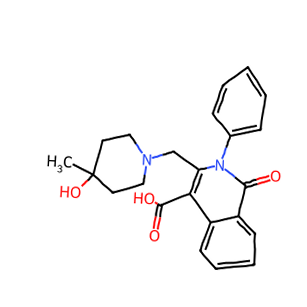 CC1(O)CCN(Cc2c(C(=O)O)c3ccccc3c(=O)n2-c2ccccc2)CC1